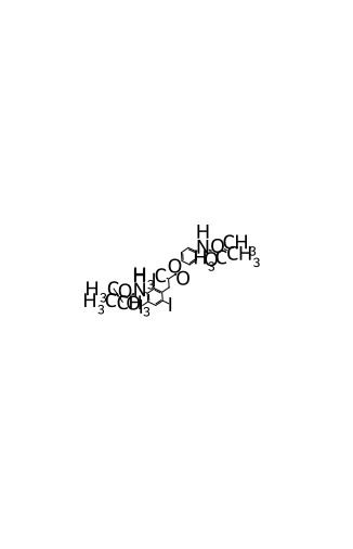 CC(Cc1c(I)cc(I)c(NC(=O)OC(C)(C)C)c1I)C(=O)Oc1ccc(NC(=O)OC(C)(C)C)cc1